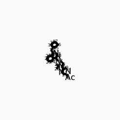 CC(=O)c1cnc(N2CCN(c3nnc(Cc4ccccc4)c4ccccc34)CC2C)cn1